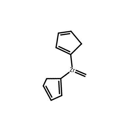 [CH2]=[Zr]([C]1=CC=CC1)[C]1=CC=CC1